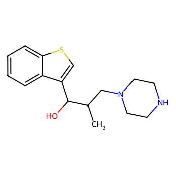 CC(CN1CCNCC1)C(O)c1csc2ccccc12